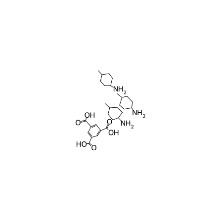 CC1CCC(N)CC1.CC1CCC(N)CC1.CC1CCC(N)CC1.O=C(O)c1cc(C(=O)O)cc(C(=O)O)c1